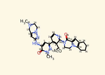 CC(=O)OCc1c(-c2cc(Nc3cc4n(n3)CCN(C)C4)c(=O)n(C)n2)ccnc1N1CCn2c(cc3c2CCCC3)C1=O